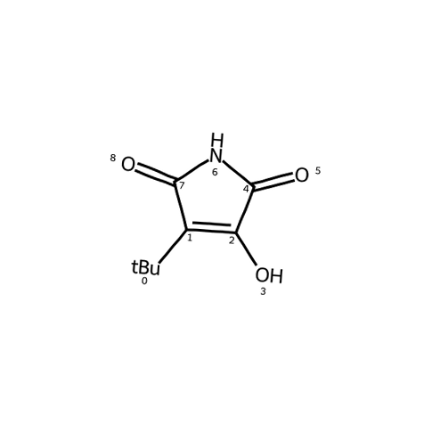 CC(C)(C)C1=C(O)C(=O)NC1=O